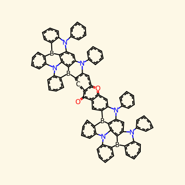 O=c1c2cc3c(cc2oc2cc4c(cc12)B1c2ccccc2N2c5ccccc5B5c6ccccc6N(c6ccccc6)c6cc(c1c2c65)N4c1ccccc1)N(c1ccccc1)c1cc2c4c5c1B3c1ccccc1N5c1ccccc1B4c1ccccc1N2c1ccccc1